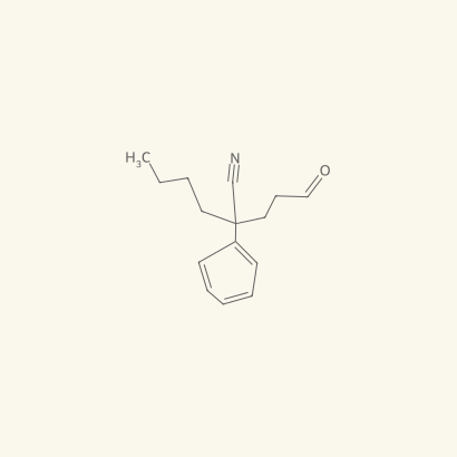 CCCCC(C#N)(CCC=O)c1ccccc1